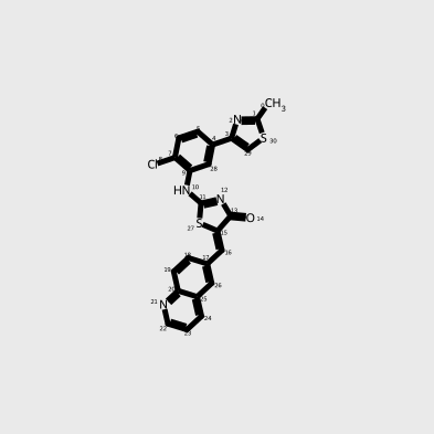 Cc1nc(-c2ccc(Cl)c(NC3=NC(=O)/C(=C/c4ccc5ncccc5c4)S3)c2)cs1